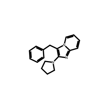 c1ccc(Cc2c(N3CCCC3)nc3ccccn23)cc1